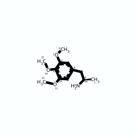 COc1cc(C[C@@H](C)N)cc(OC)c1OC